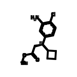 CC(C)(C)OC(=O)C[C@@H](c1ccc(Cl)c(N)c1)C1CCC1